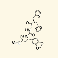 COC(=O)CC(NC(=O)NCC(=O)N(Cc1cccs1)Cc1cccs1)c1ccc2c(c1)OCO2